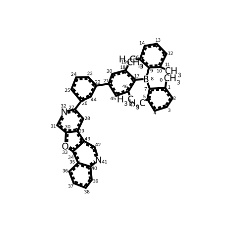 Cc1cccc(C)c1B(c1c(C)cccc1C)c1c(C)cc(-c2cccc(-c3cc4c(cn3)oc3c5ccccc5ncc43)c2)cc1C